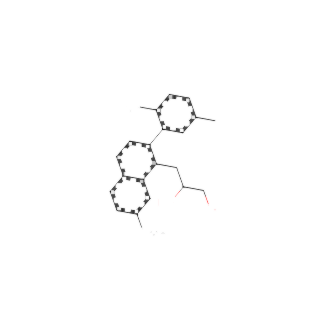 COc1ccc2ccc(-c3cc(C)ccc3S(=O)(=O)O)c(CC(O)CO)c2c1